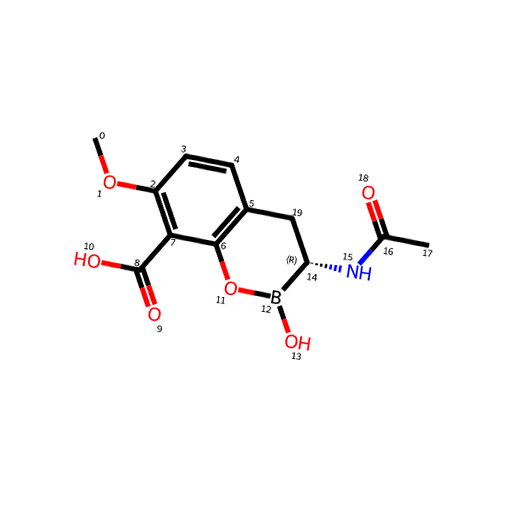 COc1ccc2c(c1C(=O)O)OB(O)[C@@H](NC(C)=O)C2